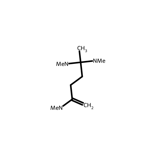 C=C(CCC(C)(NC)NC)NC